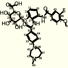 COc1ccc(C(=O)Nc2cccc(O[C@@H]3O[C@H](C(=O)O)[C@@H](O)[C@H](O)[C@H]3O)c2NC(=O)c2ccc(N3CCCN(C)CC3)cc2)cc1F